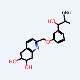 CCCCC(C)C(O)c1cccc(OCc2ccc3c(n2)CC(O)C(O)C3)c1